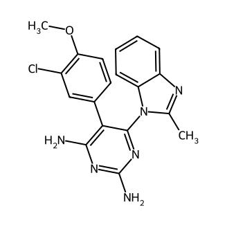 COc1ccc(-c2c(N)nc(N)nc2-n2c(C)nc3ccccc32)cc1Cl